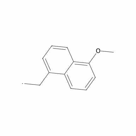 [CH2]Cc1cccc2c(OC)cccc12